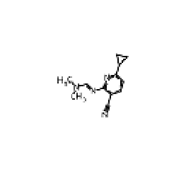 CN(C)C=Nc1nc(C2CC2)ccc1C#N